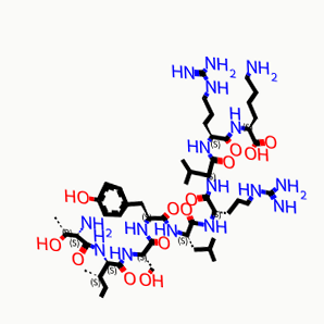 CC[C@H](C)[C@H](NC(=O)[C@@H](N)[C@@H](C)O)C(=O)N[C@@H](CO)C(=O)N[C@@H](Cc1ccc(O)cc1)C(=O)N[C@@H](CC(C)C)C(=O)N[C@@H](CCCNC(=N)N)C(=O)N[C@H](C(=O)N[C@@H](CCCNC(=N)N)C(=O)N[C@@H](CCCCN)C(=O)O)C(C)C